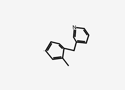 Cc1c[c]ccc1Cc1cccnc1